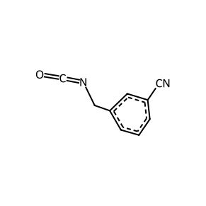 N#Cc1cccc(CN=C=O)c1